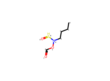 CCCCN(OC=O)[SH]=O